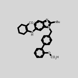 CCCCc1nc2ccc(NC3=C(C(=O)O)CCCC3)cc2n1Cc1ccc(-c2ccccc2OC(=O)O)cc1